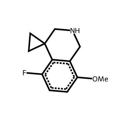 COc1ccc(F)c2c1CNCC21CC1